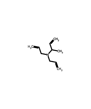 C=CCN(CC=C)C(C)C=C